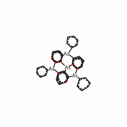 c1ccc([As](c2ccccc2)c2ccccc2[As](c2ccccc2[As](c2ccccc2)c2ccccc2)c2ccccc2[As](c2ccccc2)c2ccccc2)cc1